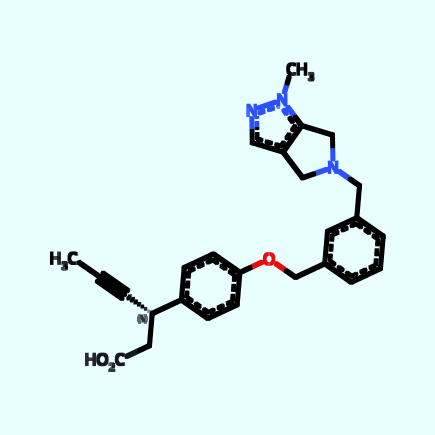 CC#C[C@@H](CC(=O)O)c1ccc(OCc2cccc(CN3Cc4cnn(C)c4C3)c2)cc1